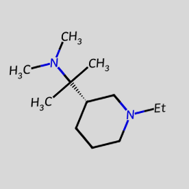 CCN1CCC[C@H](C(C)(C)N(C)C)C1